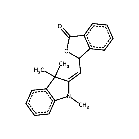 CN1/C(=C/C2OC(=O)c3ccccc32)C(C)(C)c2ccccc21